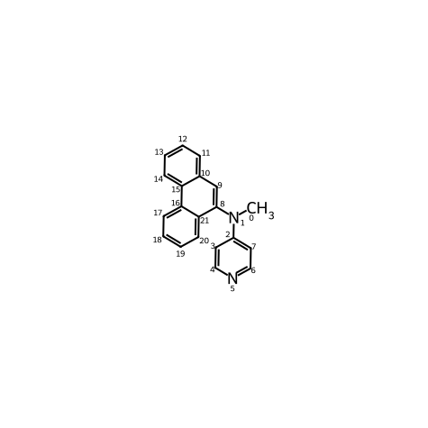 CN(c1ccncc1)c1cc2ccccc2c2ccccc12